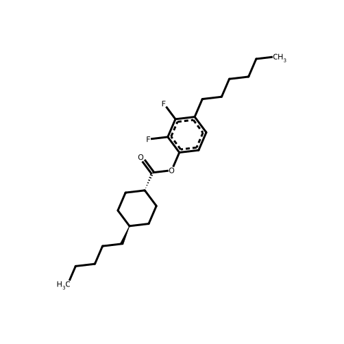 CCCCCCc1ccc(OC(=O)[C@H]2CC[C@H](CCCCC)CC2)c(F)c1F